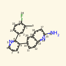 Cc1cc(-c2ncccc2-c2ccc3nc(N)ccc3c2)ccc1F